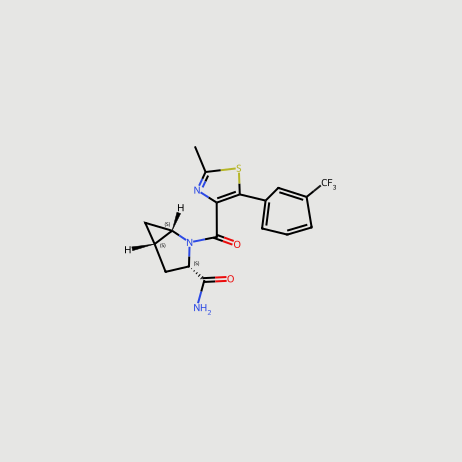 Cc1nc(C(=O)N2[C@H](C(N)=O)C[C@@H]3C[C@@H]32)c(-c2cccc(C(F)(F)F)c2)s1